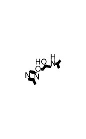 Cc1cncc(OCC(O)CNC(C)C)n1